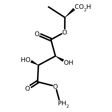 C[C@H](OC(=O)[C@@H](O)[C@H](O)C(=O)OP)C(=O)O